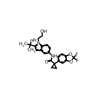 CCCC(C)(C)c1cc2cc(NC(=O)C3(c4ccc5c(c4)OC(F)(F)O5)CC3)ccc2n1CCO